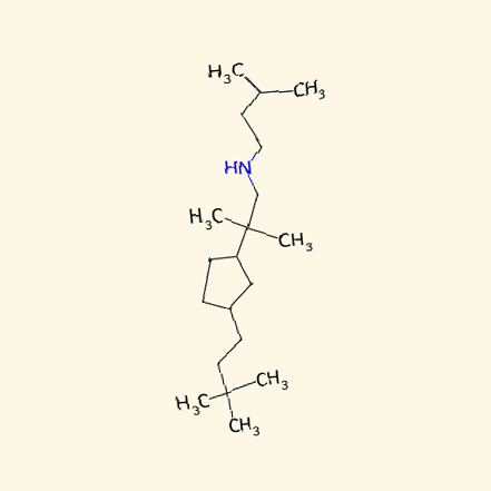 CC(C)CCNCC(C)(C)C1CCC(CCC(C)(C)C)C1